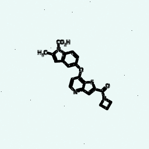 Cc1cc2cc(Oc3ccnc4cc(C(=O)N5CCC5)sc34)ccc2n1C(=O)O